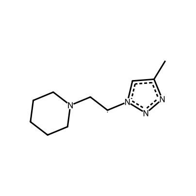 Cc1cn([CH]CN2CCCCC2)nn1